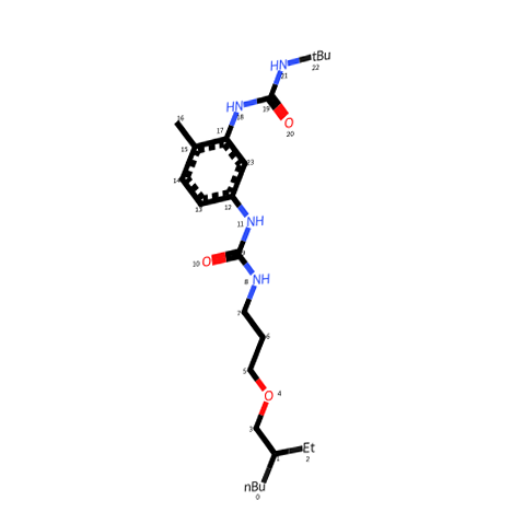 CCCCC(CC)COCCCNC(=O)Nc1ccc(C)c(NC(=O)NC(C)(C)C)c1